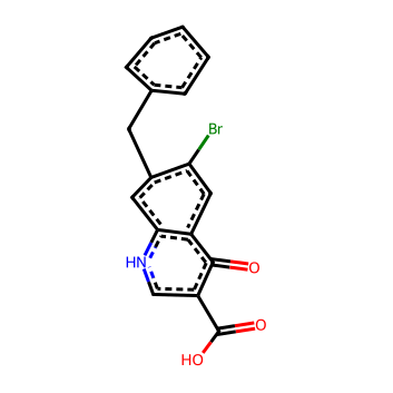 O=C(O)c1c[nH]c2cc(Cc3ccccc3)c(Br)cc2c1=O